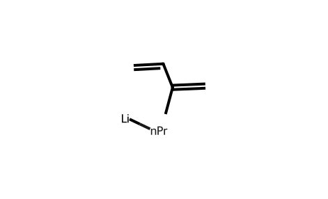 C=CC(=C)C.[Li][CH2]CC